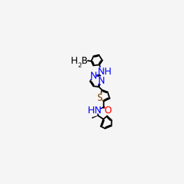 Bc1cccc(Nc2nccc(-c3ccc(C(=O)N[C@H](C)c4ccccc4)s3)n2)c1